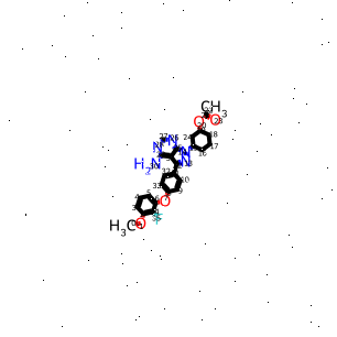 COc1cccc(Oc2ccc(-c3nn(C4CCCC(OC(C)=O)C4)c4ncnc(N)c34)cc2)c1F